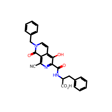 N#Cc1nc(C(=O)NC(Cc2ccccc2)C(=O)O)c(O)c2ccn(Cc3ccccc3)c(=O)c12